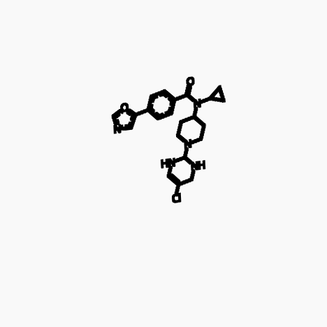 O=C(c1ccc(-c2cnco2)cc1)N(C1CC1)C1CCN(C2NC=C(Cl)CN2)CC1